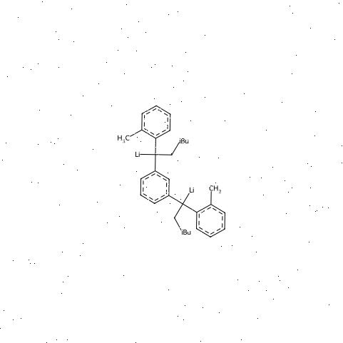 [Li][C](CC(C)CC)(c1cccc([C]([Li])(CC(C)CC)c2ccccc2C)c1)c1ccccc1C